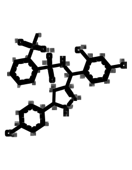 CS(=O)(=O)c1ccccc1S(=O)(=O)NC(C1=NNC(c2ccc(Cl)cc2)C1)c1ccc(Cl)cc1Cl